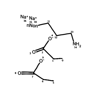 CCC(=O)[O-].CCC(=O)[O-].CCCCCCCCCCCCN.[Na+].[Na+]